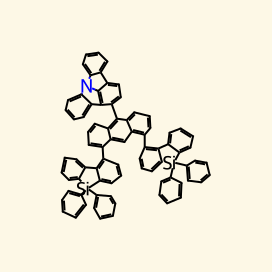 c1ccc([Si]2(c3ccccc3)c3ccccc3-c3c(-c4cccc5c(-c6ccc7c8ccccc8n8c9ccccc9c6c78)c6cccc(-c7cccc8c7-c7ccccc7[Si]8(c7ccccc7)c7ccccc7)c6cc45)cccc32)cc1